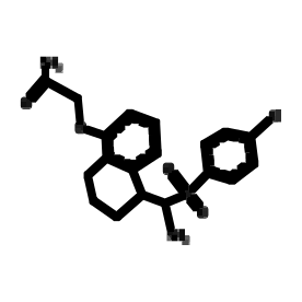 NC(=O)COc1cccc2c1CCCC2C(N)S(=O)(=O)c1ccc(Cl)cc1